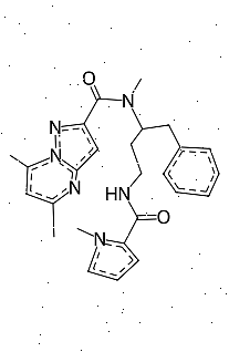 Cc1cc(C)n2nc(C(=O)N(C)C(CCNC(=O)c3cccn3C)Cc3ccccc3)cc2n1